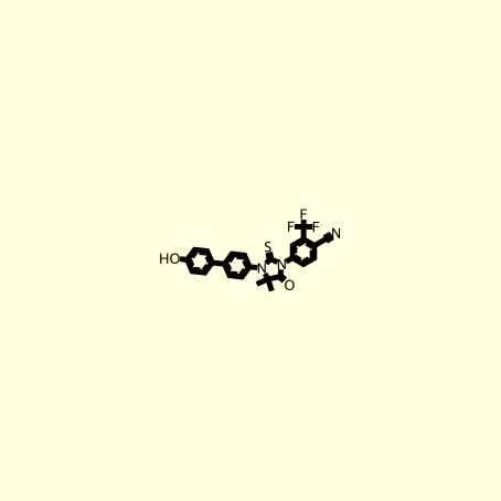 CC1(C)C(=O)N(c2ccc(C#N)c(C(F)(F)F)c2)C(=S)N1c1ccc(-c2ccc(O)cc2)cc1